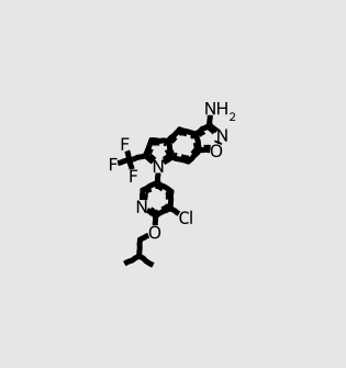 CC(C)COc1ncc(-n2c(C(F)(F)F)cc3cc4c(N)noc4cc32)cc1Cl